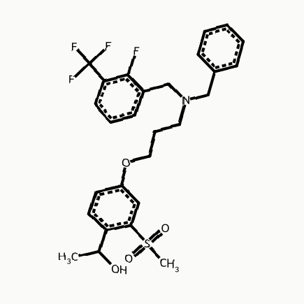 CC(O)c1ccc(OCCCN(Cc2ccccc2)Cc2cccc(C(F)(F)F)c2F)cc1S(C)(=O)=O